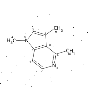 Cc1cn(C)c2ccnc(C)c12